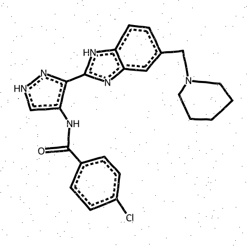 O=C(Nc1c[nH]nc1-c1nc2cc(CN3CCCCC3)ccc2[nH]1)c1ccc(Cl)cc1